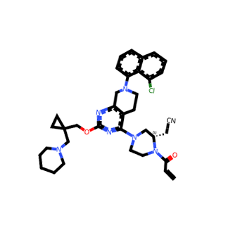 C=CC(=O)N1CCN(c2nc(OCC3(CN4CCCCC4)CC3)nc3c2CCN(c2cccc4cccc(Cl)c24)C3)C[C@@H]1CC#N